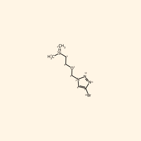 C[SiH](C)CCOCn1cc(Br)nn1